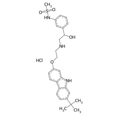 CC(C)(C)c1ccc2c(c1)[nH]c1cc(OCCNCC(O)c3cccc(NS(C)(=O)=O)c3)ccc12.Cl